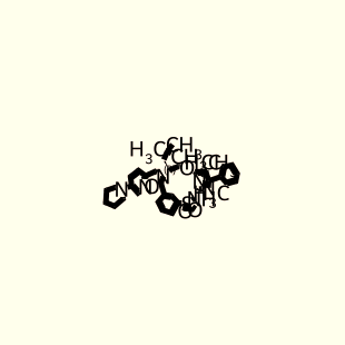 Cc1cccc(C)c1-c1nc2nc(c1C)OC[C@@H](CC(C)(C)C)N(Cc1ccc(N3CCCCC3)cn1)C(=O)c1cccc(c1)S(=O)(=O)N2